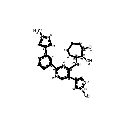 Cn1cc(-c2cccc(-c3ncc(-c4cnn(C)c4)c(N[C@H]4CCCC[C@@H](O)[C@H]4O)n3)c2)cn1